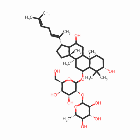 CC(C)=CC/C=C(\C)[C@H]1CC[C@]2(C)C1C(O)CC1[C@@]3(C)CC[C@H](O)C(C)(C)C3[C@@H](OC3O[C@H](CO)[C@@H](O)[C@H](O)[C@H]3O[C@@H]3O[C@@H](C)[C@H](O)[C@@H](O)[C@@H]3O)C[C@]12C